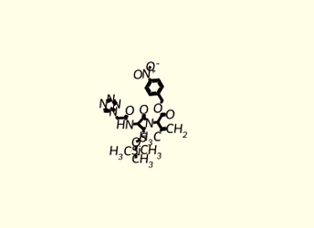 C=C(C)C(C(=O)OCc1ccc([N+](=O)[O-])cc1)N1C(=O)C(NC(=O)Cn2cnnn2)C1SO[Si](C)(C)C